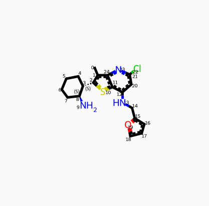 Cc1c([C@H]2CCCC[C@@H]2N)sc2c(NCc3ccco3)cc(Cl)nc12